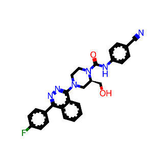 N#Cc1ccc(NC(=O)N2CCN(c3nnc(-c4ccc(F)cc4)c4ccccc34)C[C@@H]2CO)cc1